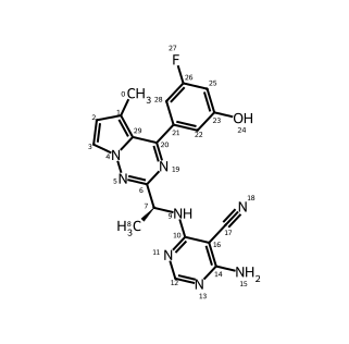 Cc1ccn2nc([C@H](C)Nc3ncnc(N)c3C#N)nc(-c3cc(O)cc(F)c3)c12